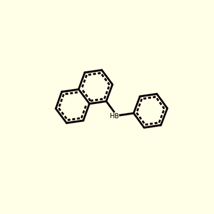 B(c1ccccc1)c1cccc2ccccc12